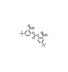 CC(C)(C)c1ccc(OC(=O)Oc2ccc(C(C)(C)C)cc2[N+](=O)[O-])c([N+](=O)[O-])c1